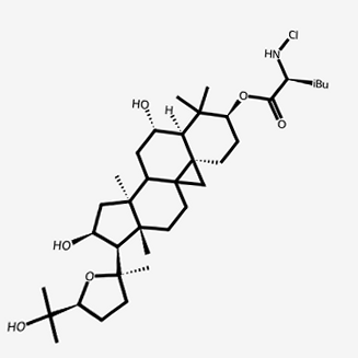 CCC(C)[C@H](NCl)C(=O)O[C@H]1CC[C@]23CC24CC[C@]2(C)[C@@H]([C@@]5(C)CC[C@@H](C(C)(C)O)O5)[C@@H](O)C[C@@]2(C)C4C[C@H](O)[C@H]3C1(C)C